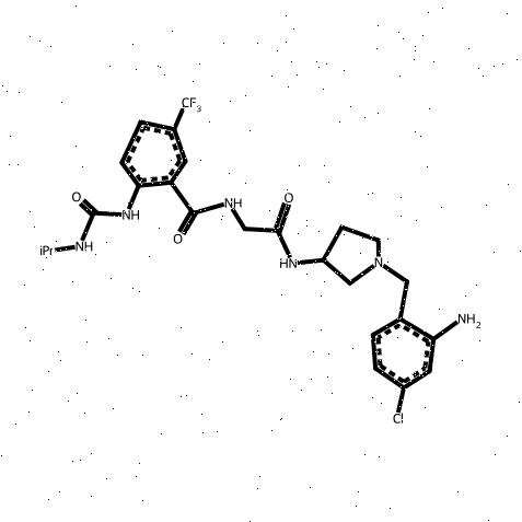 CC(C)NC(=O)Nc1ccc(C(F)(F)F)cc1C(=O)NCC(=O)NC1CCN(Cc2ccc(Cl)cc2N)C1